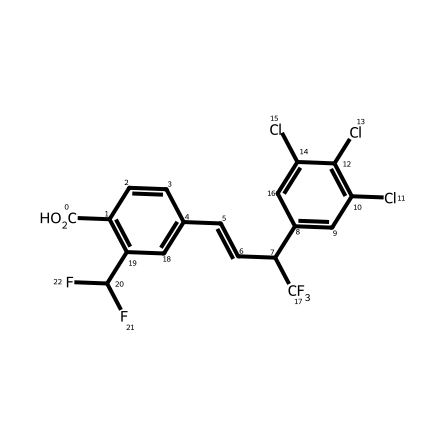 O=C(O)c1ccc(/C=C/C(c2cc(Cl)c(Cl)c(Cl)c2)C(F)(F)F)cc1C(F)F